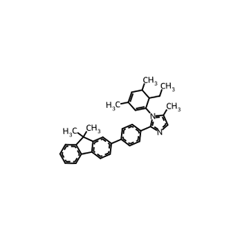 CCC1C(n2c(C)cnc2-c2ccc(-c3ccc4c(c3)C(C)(C)c3ccccc3-4)cc2)=CC(C)=CC1C